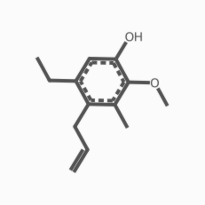 C=CCc1c(CC)cc(O)c(OC)c1C